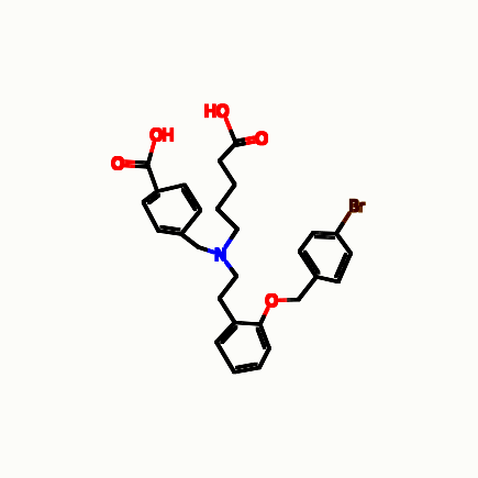 O=C(O)CCCCN(CCc1ccccc1OCc1ccc(Br)cc1)Cc1ccc(C(=O)O)cc1